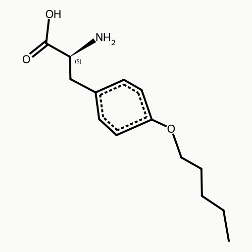 CCCCCOc1ccc(C[C@H](N)C(=O)O)cc1